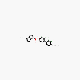 CCCC1=CCC2C(C(=O)Oc3ccc(-c4ccc(OC)c(F)c4F)c(F)c3F)CCC12